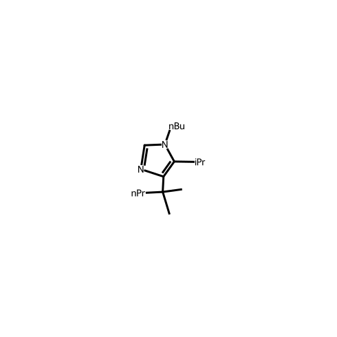 CCCCn1cnc(C(C)(C)CCC)c1C(C)C